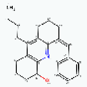 CCCCc1c2c(nc3c1CCCC3O)/C(=C\c1ccccc1)CCC2